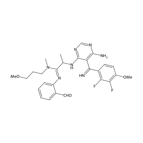 COCCCN(C)/C(=N\c1ccccc1C=O)C(C)Nc1ncnc(N)c1C(=N)c1ccc(OC)c(F)c1F